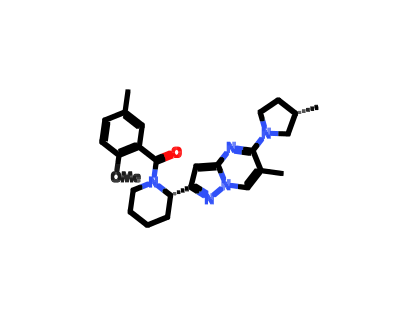 COc1ccc(C)cc1C(=O)N1CCCC[C@H]1c1cc2nc(N3CC[C@H](C)C3)c(C)cn2n1